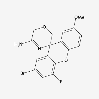 COc1ccc2c(c1)[C@@]1(COCC(N)=N1)c1cc(Br)cc(F)c1O2